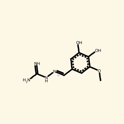 COc1cc(/C=N/NC(=N)N)cc(O)c1O